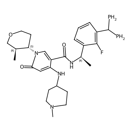 C[C@@H](NC(=O)c1cn([C@H]2CCOC[C@@H]2C)c(=O)cc1NC1CCN(C)CC1)c1cccc(C(P)P)c1F